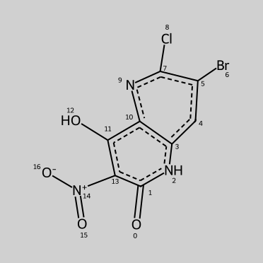 O=c1[nH]c2cc(Br)c(Cl)nc2c(O)c1[N+](=O)[O-]